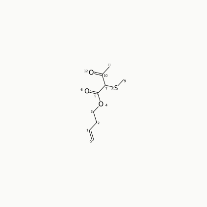 C=CCCOC(=O)C(SC)C(C)=O